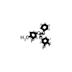 Cc1ccc(OP(Oc2ccccc2)Oc2ccc(F)c(F)c2)cc1F